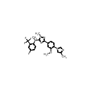 COc1cc(-c2nc(N(C)c3ccc(F)cc3C(F)(F)F)n(C)n2)ccc1-n1cnc(C)c1